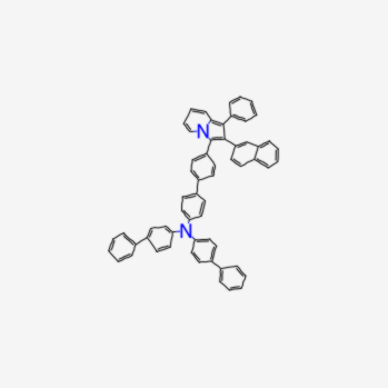 c1ccc(-c2ccc(N(c3ccc(-c4ccccc4)cc3)c3ccc(-c4ccc(-c5c(-c6ccc7ccccc7c6)c(-c6ccccc6)c6ccccn56)cc4)cc3)cc2)cc1